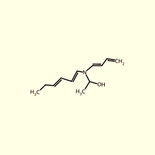 C=C/C=C/N(/C=C/C=C/CC)C(C)O